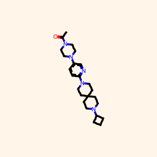 CC(=O)N1CCN(c2ccc(N3CCC4(CC3)CCN(C3CCC3)CC4)nc2)CC1